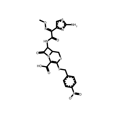 CON=C(C(=O)NC1C(=O)N2C(C(=O)O)=C(SCc3ccc([N+](=O)[O-])cc3)SCC12)c1csc(N)n1